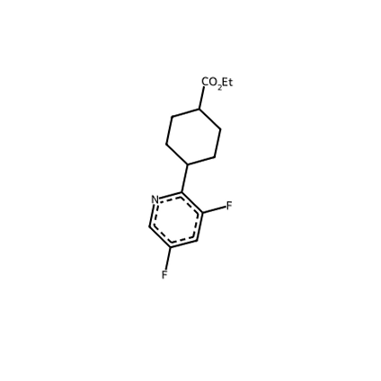 CCOC(=O)C1CCC(c2ncc(F)cc2F)CC1